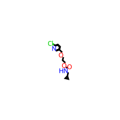 O=C(NCC1CC1)OCCCOCc1ccc(Cl)nc1